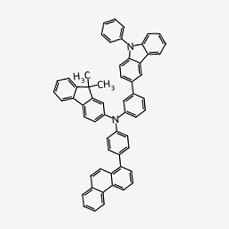 CC1(C)c2ccccc2-c2ccc(N(c3ccc(-c4cccc5c4ccc4ccccc45)cc3)c3cccc(-c4ccc5c(c4)c4ccccc4n5-c4ccccc4)c3)cc21